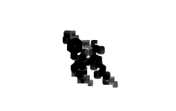 COC(=O)C[C@@H]1C[C@@H](OC(C)=O)[C@H](n2c(=O)n(Cc3cccc(OC)c3)c3cnc(N)nc32)O1